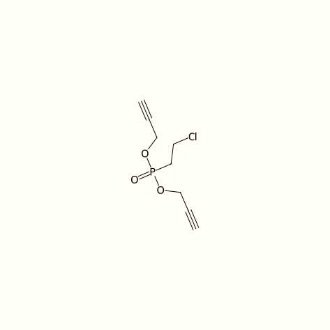 C#CCOP(=O)(CCCl)OCC#C